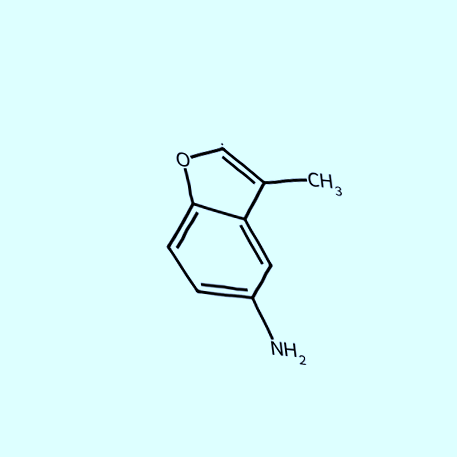 Cc1[c]oc2ccc(N)cc12